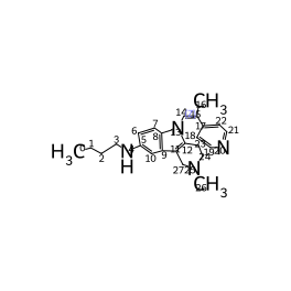 CCCCNc1ccc2c(c1)c1c(n2/C=C(/C)c2ccncc2)CCN(C)C1